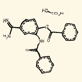 N=C(N)c1ccc(OC(=O)c2ccccc2)c(NC(=O)c2ccccc2)c1.O=C(O)O